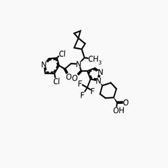 CC(C1CC2(CC2)C1)N(CC(=O)c1c(Cl)cncc1Cl)C(=O)c1cnn([C@H]2CC[C@H](C(=O)O)CC2)c1C(F)(F)F